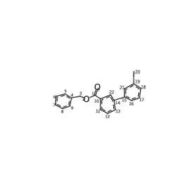 O=C(OCc1ccccc1)c1cccc(-c2cccc(I)c2)c1